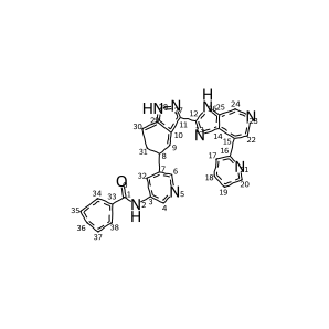 O=C(Nc1cncc(C2C=c3c(-c4nc5c(-c6ccccn6)cncc5[nH]4)n[nH]c3=CC2)c1)c1ccccc1